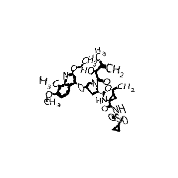 C=CC1C[C@]1(NC(=O)[C@@H]1C[C@@H](Oc2cc(OCC)nc3c(C)c(OC)ccc23)CN1C(=O)[C@@H](O)C(=C)C)C(=O)NS(=O)(=O)C1CC1